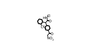 O=C(C[N+](=O)[O-])c1ccc(C(C(=O)NCl)c2ccccc2C(F)(F)F)cc1